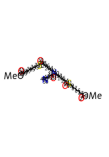 COC(=O)CCCCCCCCSC(=O)CCCCCCCN(CCCCCCCC(=O)SCCCCCCCCC(=O)OC)C(=O)CCCN(C)C